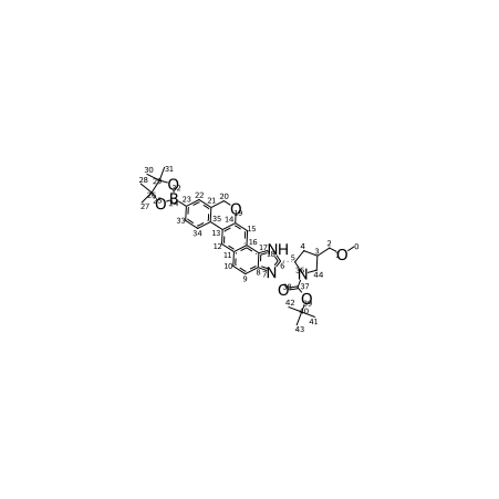 COCC1C[C@@H](c2nc3ccc4cc5c(cc4c3[nH]2)OCc2cc(B3OC(C)(C)C(C)(C)O3)ccc2-5)N(C(=O)OC(C)(C)C)C1